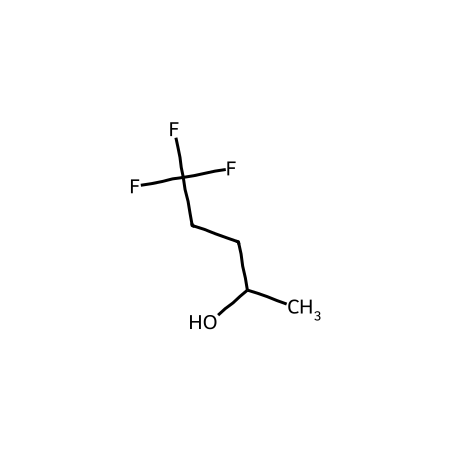 CC(O)CCC(F)(F)F